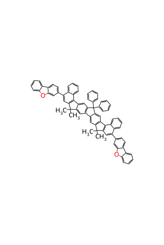 CC1(C)c2cc3c(cc2-c2c1cc(-c1ccc4c(c1)oc1ccccc14)c1ccccc21)C(c1ccccc1)(c1ccccc1)c1cc2c(cc1-3)C(C)(C)c1cc(-c3ccc4c(c3)oc3ccccc34)c3ccccc3c1-2